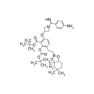 CC1(C)CCC2OB(CCc3ccc(OC4CN(C(=N)c5ccc(N)cc5)C4)c(C(=O)OC(C)(C)C)c3OC(=O)OC(C)(C)C)OC2(C)C1